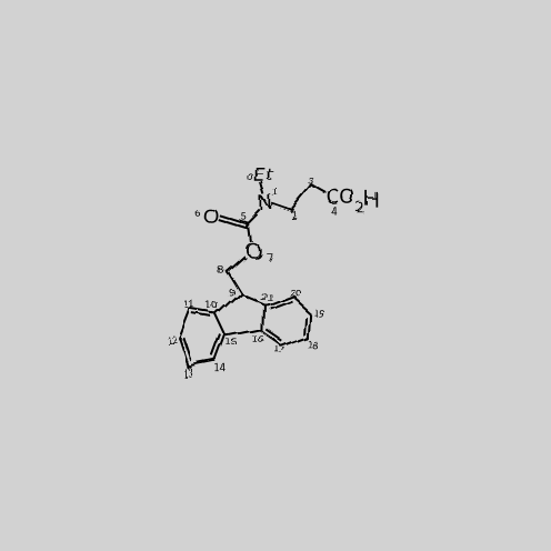 CCN(CCC(=O)O)C(=O)OCC1c2ccccc2-c2ccccc21